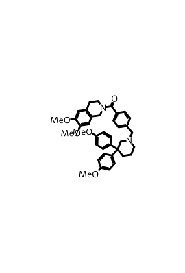 COc1ccc(C2(c3ccc(OC)cc3)CCCN(Cc3ccc(C(=O)N4CCc5cc(OC)c(OC)cc5C4)cc3)C2)cc1